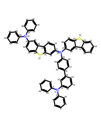 c1ccc(N(c2ccccc2)c2cccc(-c3ccc(N(c4ccc5c(c4)sc4ccc(N(c6ccccc6)c6ccccc6)cc45)c4ccc5sc6ccccc6c5c4)cc3)c2)cc1